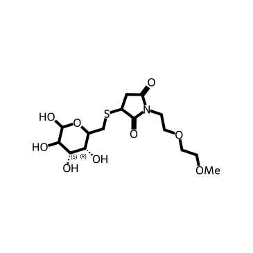 COCCOCCN1C(=O)CC(SCC2OC(O)C(O)[C@@H](O)[C@H]2O)C1=O